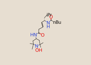 CCCCC(=O)N[C@H](/C=C/CC(=O)NC1CC(C)(C)N(O)C(C)(C)C1)CC(C)C